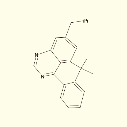 CC(C)Cc1cc2c3c(ncnc3c1)-c1ccccc1C2(C)C